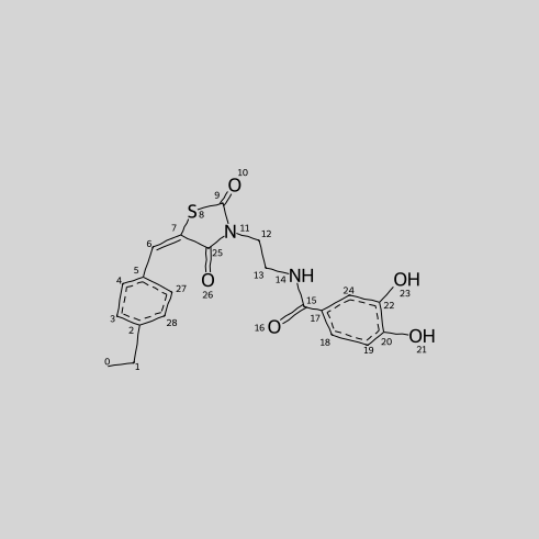 CCc1ccc(C=C2SC(=O)N(CCNC(=O)c3ccc(O)c(O)c3)C2=O)cc1